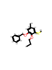 CCCOc1c(OCc2ccccc2)cc(C)cc1SC